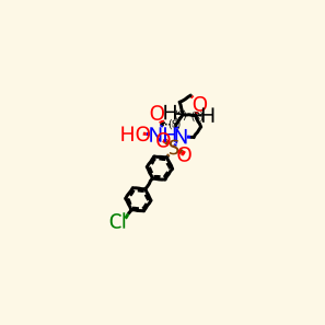 O=C(NO)[C@@H]1[C@@H]2CCO[C@@H]2CCN1S(=O)(=O)c1ccc(-c2ccc(Cl)cc2)cc1